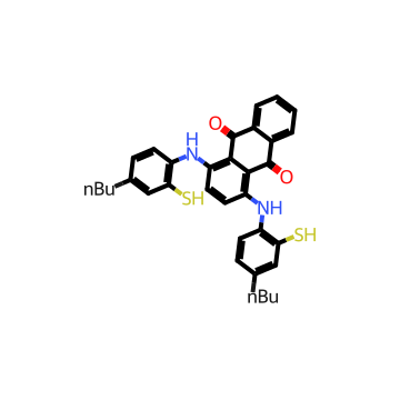 CCCCc1ccc(Nc2ccc(Nc3ccc(CCCC)cc3S)c3c2C(=O)c2ccccc2C3=O)c(S)c1